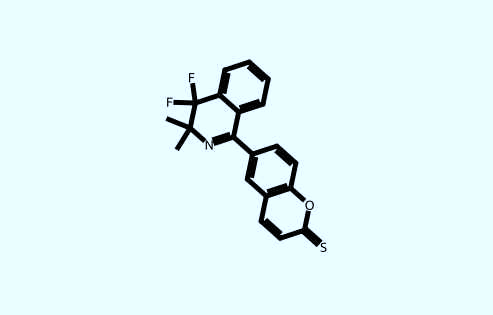 CC1(C)N=C(c2ccc3oc(=S)ccc3c2)c2ccccc2C1(F)F